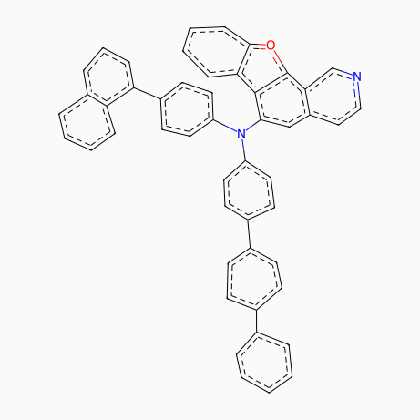 c1ccc(-c2ccc(-c3ccc(N(c4ccc(-c5cccc6ccccc56)cc4)c4cc5ccncc5c5oc6ccccc6c45)cc3)cc2)cc1